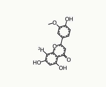 [2H]c1c(O)cc(O)c2c(=O)cc(-c3ccc(O)c(OC)c3)oc12